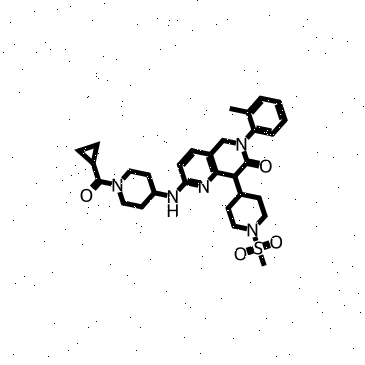 Cc1ccccc1N1Cc2ccc(NC3CCN(C(=O)C4CC4)CC3)nc2C(C2CCN(S(C)(=O)=O)CC2)C1=O